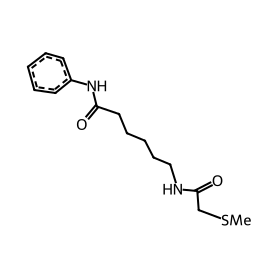 CSCC(=O)NCCCCCC(=O)Nc1ccccc1